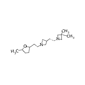 CC1CCC(CCN2CC(CCN3CC(C)(C)C3)C2)O1